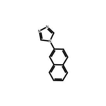 c1ccc2cc(-n3cnnc3)ccc2c1